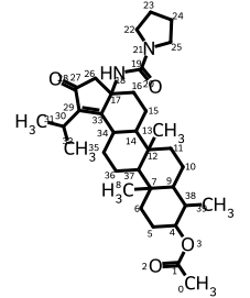 CC(=O)OC1CCC2(C)C(CCC3(C)C4CCC5(NC(=O)N6CCCC6)CC(=O)C(C(C)C)=C5C4CCC32)C1C